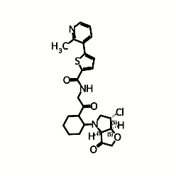 Cc1ncccc1-c1ccc(C(=O)NCC(=O)C2CCCCC2N2C[C@H](Cl)[C@H]3OCC(=O)[C@H]32)s1